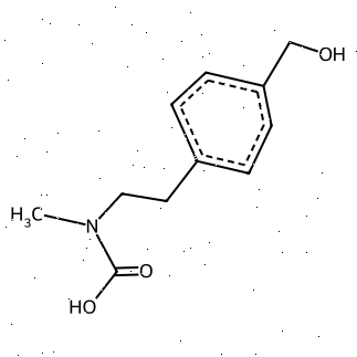 CN(CCc1ccc(CO)cc1)C(=O)O